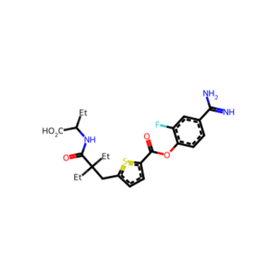 CCC(NC(=O)C(CC)(CC)Cc1ccc(C(=O)Oc2ccc(C(=N)N)cc2F)s1)C(=O)O